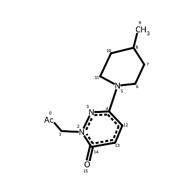 CC(=O)Cn1nc(N2CCC(C)CC2)ccc1=O